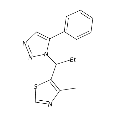 CCC(c1scnc1C)n1nncc1-c1ccccc1